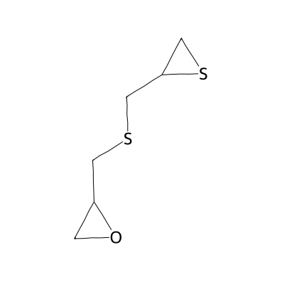 C1OC1CSCC1CS1